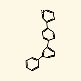 c1ccc(-c2cccc(-c3ccc(-c4cccnc4)cc3)c2)cc1